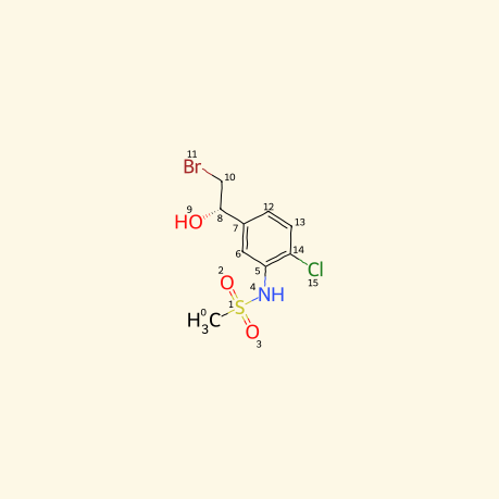 CS(=O)(=O)Nc1cc([C@H](O)CBr)ccc1Cl